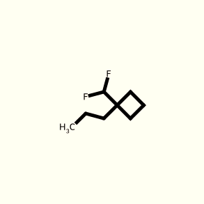 CCCC1(C(F)F)CCC1